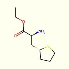 CCOC(=O)[C@@H](N)C[C@H]1CCCS1